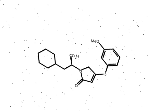 COc1cccc(OC2=CC(=O)N([C@@H](CC3CCCCC3)C(=O)O)C2)c1